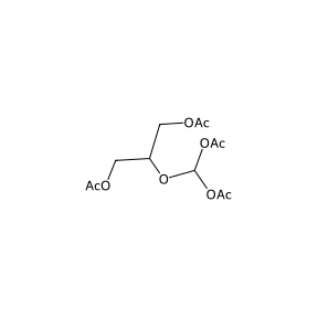 CC(=O)OCC(COC(C)=O)OC(OC(C)=O)OC(C)=O